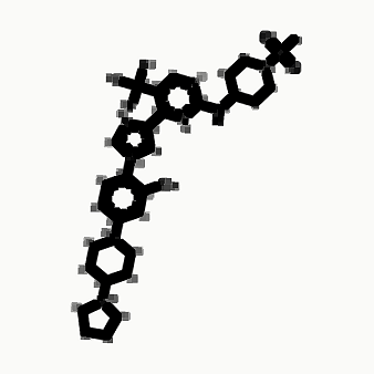 CS(=O)(=O)N1CCC(Nc2ncc(C(F)(F)F)c(-c3cn(-c4ccc(N5CCC(N6CCCC6)CC5)cc4Cl)cn3)n2)CC1